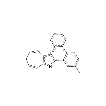 Cc1ccc2c3ccccc3n3c4c(nc3c2c1)C=CCC=C4